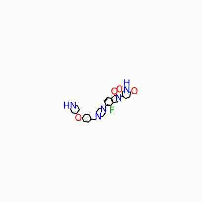 O=C1CCC(N2Cc3c(ccc(N4CCN(CC5CCC(OC6CCNCC6)CC5)CC4)c3F)C2=O)C(=O)N1